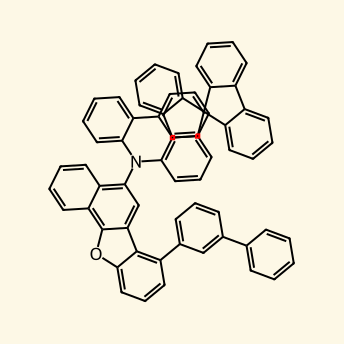 c1ccc(-c2cccc(-c3cccc4oc5c6ccccc6c(N(c6ccccc6-c6ccccc6)c6cccc7c6-c6ccccc6C76c7ccccc7-c7ccccc76)cc5c34)c2)cc1